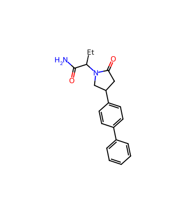 CCC(C(N)=O)N1CC(c2ccc(-c3ccccc3)cc2)CC1=O